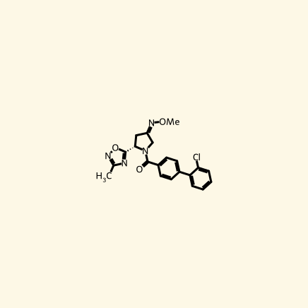 CON=C1C[C@@H](c2nc(C)no2)N(C(=O)c2ccc(-c3ccccc3Cl)cc2)C1